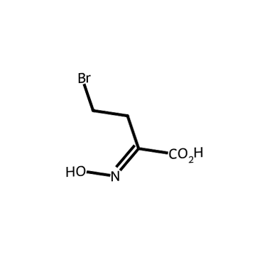 O=C(O)C(CCBr)=NO